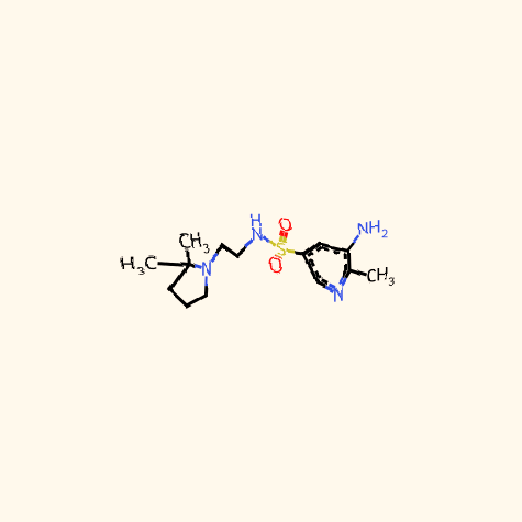 Cc1ncc(S(=O)(=O)NCCN2CCCC2(C)C)cc1N